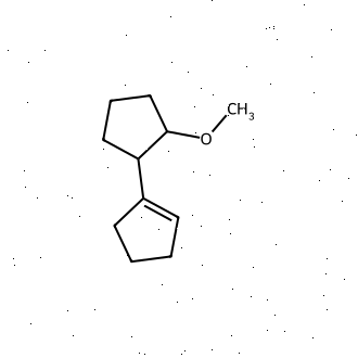 COC1CCCC1C1=CCCC1